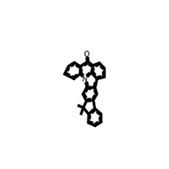 CC1(C)c2ccccc2-c2cc3c4cccc5c(=O)c6ccccc6n(c3cc21)c54